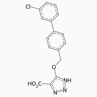 O=C(O)c1nn[nH]c1OCc1ccc(-c2cccc(Cl)c2)cc1